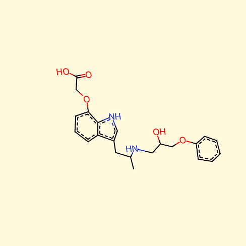 CC(Cc1c[nH]c2c(OCC(=O)O)cccc12)NCC(O)COc1ccccc1